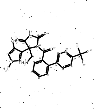 Cc1cn(C)nc1C1(CN)C(=O)NC(=O)N1C(=O)c1ccccc1-c1ccc(C(F)(F)F)nc1